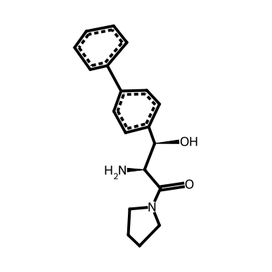 N[C@H](C(=O)N1CCCC1)[C@H](O)c1ccc(-c2ccccc2)cc1